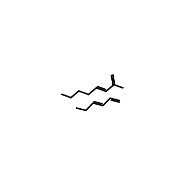 C=C(C)/C=C/CCCC.C=C/C=C/CC